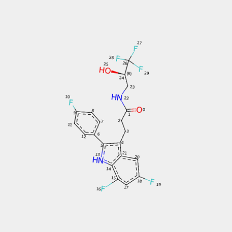 O=C(CCc1c(-c2ccc(F)cc2)[nH]c2c(F)cc(F)cc12)NC[C@@H](O)C(F)(F)F